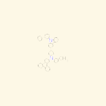 Cc1cccc(N(c2ccc(-c3ccc4c(c3)c3ccccc3n4-c3cccc(-c4ccccc4)c3)cc2)c2ccc3c4ccccc4c4ccccc4c3c2)c1